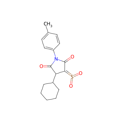 Cc1ccc(N2C(=O)C(=S(=O)=O)C(C3CCCCC3)C2=O)cc1